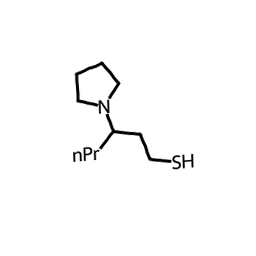 CCCC(CCS)N1CCCC1